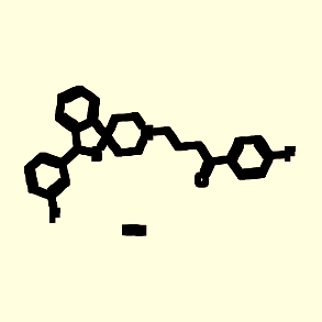 C=C.O=C(CCCN1CCC2(CC1)SC(c1cccc(F)c1)c1ccccc12)c1ccc(F)cc1